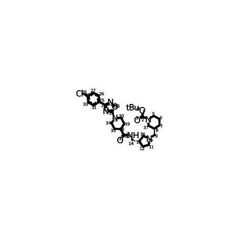 CC(C)(C)OC(=O)N1CCC[C@@H](CN2CC[C@H](CNC(=O)C3CCN(c4nc(-c5ccc(Cl)cc5)no4)CC3)C2)C1